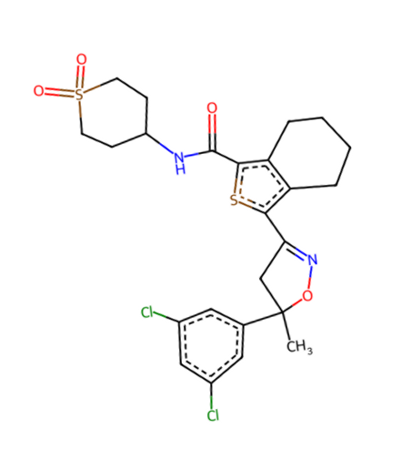 CC1(c2cc(Cl)cc(Cl)c2)CC(c2sc(C(=O)NC3CCS(=O)(=O)CC3)c3c2CCCC3)=NO1